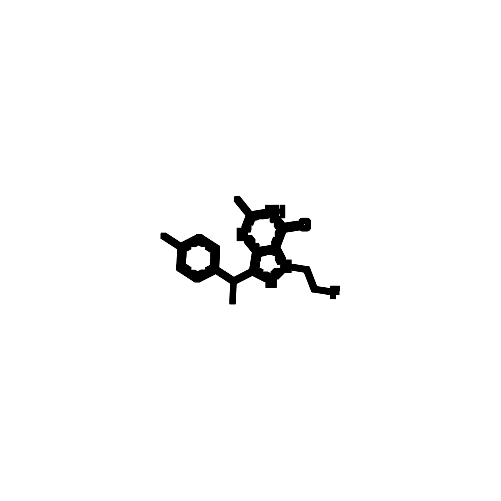 Cc1ccc(C(C)c2nn(CCF)c3c(=O)[nH]c(C)nc23)cc1